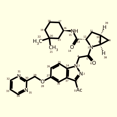 CC(=O)c1nn(CC(=O)N2[C@@H]3C[C@@H]3C[C@H]2C(=O)N[C@@H]2CCCC(C)(C)C2)c2ccc(OCc3ncccn3)cc12